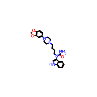 NC(=O)N(CCCCN1CCN(c2ccc3c(c2)OCO3)CC1)c1c[nH]c2ccccc12